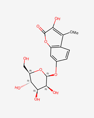 COc1c(O)c(=O)oc2cc(O[C@@H]3O[C@H](CO)[C@@H](O)[C@H](O)[C@@H]3O)ccc12